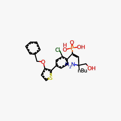 CCCCC(N)(C=C(c1ccc(-c2sccc2OCc2ccccc2)cc1Cl)P(=O)(O)O)CO